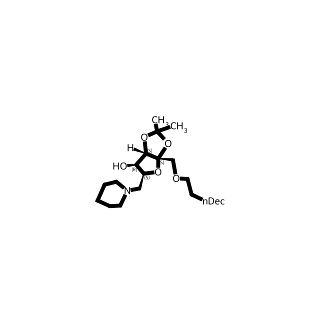 CCCCCCCCCCCCOC[C@@]12O[C@@H](CN3CCCCC3)[C@@H](O)[C@@H]1OC(C)(C)O2